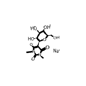 Cn1c([O-])c([C@@H]2O[C@H](CO)[C@H](O)[C@H](O)[C@H]2O)c(=O)n(C)c1=O.[Na+]